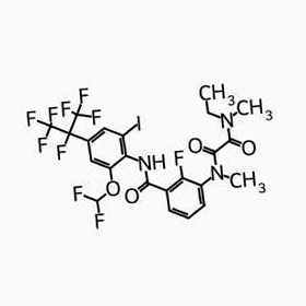 CCN(C)C(=O)C(=O)N(C)c1cccc(C(=O)Nc2c(I)cc(C(F)(C(F)(F)F)C(F)(F)F)cc2OC(F)F)c1F